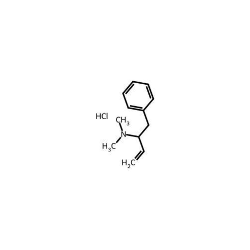 C=CC(Cc1ccccc1)N(C)C.Cl